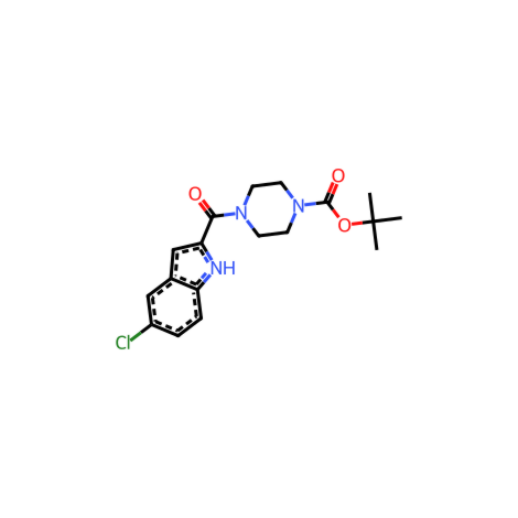 CC(C)(C)OC(=O)N1CCN(C(=O)c2cc3cc(Cl)ccc3[nH]2)CC1